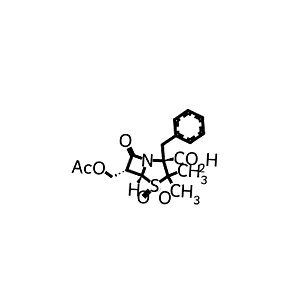 CC(=O)OC[C@@H]1C(=O)N2[C@@H]1S(=O)(=O)C(C)(C)[C@]2(Cc1ccccc1)C(=O)O